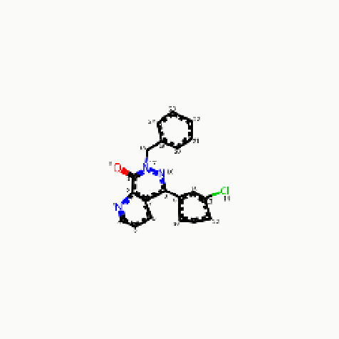 O=c1c2ncccc2c(-c2cccc(Cl)c2)nn1Cc1ccccc1